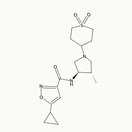 C[C@H]1CN(C2CCS(=O)(=O)CC2)C[C@@H]1NC(=O)c1cc(C2CC2)on1